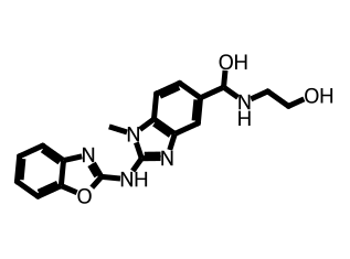 Cn1c(Nc2nc3ccccc3o2)nc2cc(C(O)NCCO)ccc21